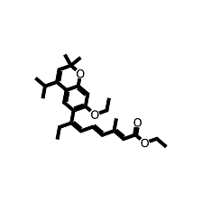 CCOC(=O)/C=C(C)/C=C/C=C(/CC)c1cc2c(cc1OCC)OC(C)(C)C=C2C(C)C